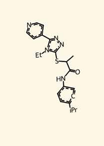 CCn1c(SC(C)C(=O)Nc2ccc(C(C)C)cc2)nnc1-c1ccncc1